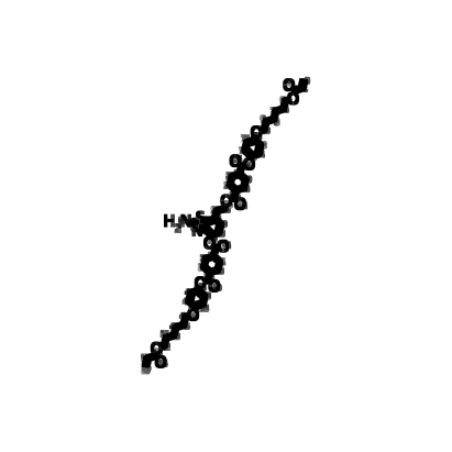 C=CC(=O)OCCCCCCOc1ccc(OC(=O)C2CCC(C(=O)OCCc3ccc(OC(=O)C4CCC(C(=O)Oc5ccc(OCCCCCCOC(=O)C=C)cc5)CC4)c4nc(N)sc34)CC2)cc1